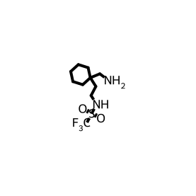 NCC1(CCNS(=O)(=O)C(F)(F)F)CCCCC1